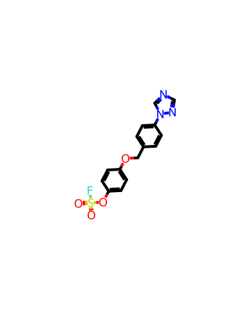 O=S(=O)(F)Oc1ccc(OCc2ccc(-n3cncn3)cc2)cc1